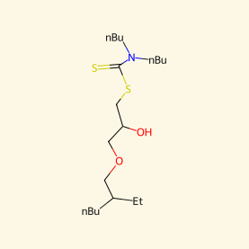 CCCCC(CC)COCC(O)CSC(=S)N(CCCC)CCCC